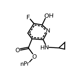 CCCOC(=O)c1cc(F)c(O)nc1NC1CC1